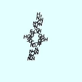 Nc1ncnc2c1ncn2[C@@H]1O[C@@H]2COP(O)(=S)O[C@H]3[C@@H](F)[C@H](n4cnc5c4ncn4ncnc54)O[C@@H]3COP(O)(=S)O[C@H]2[C@H]1F